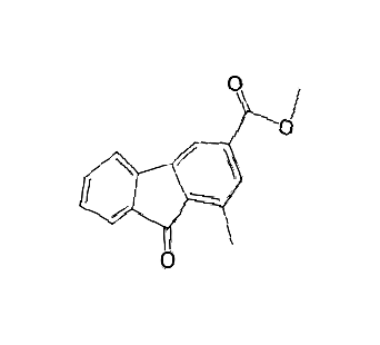 COC(=O)c1cc(C)c2c(c1)-c1ccccc1C2=O